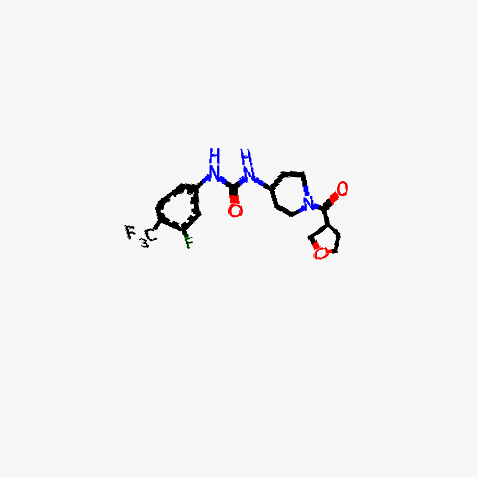 O=C(Nc1ccc(C(F)(F)F)c(F)c1)NC1CCN(C(=O)C2CCOC2)CC1